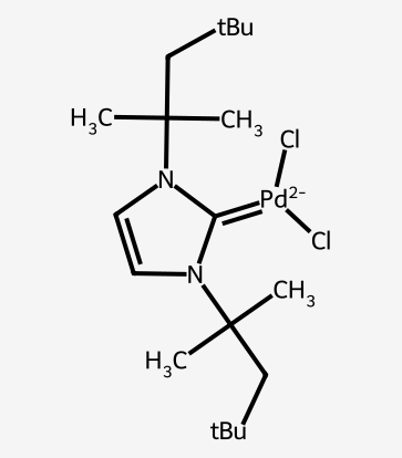 CC(C)(C)CC(C)(C)n1ccn(C(C)(C)CC(C)(C)C)[c]1=[Pd-2]([Cl])[Cl]